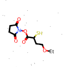 CCOCCC(S)C(=O)ON1C(=O)CCC1=O